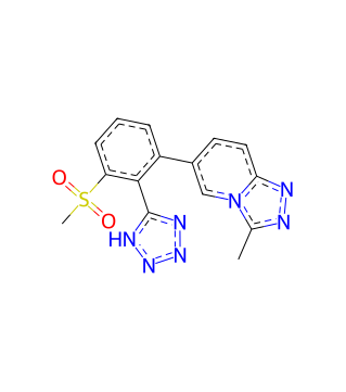 Cc1nnc2ccc(-c3cccc(S(C)(=O)=O)c3-c3nnn[nH]3)cn12